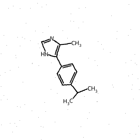 Cc1nc[nH]c1-c1ccc(C(C)C)cc1